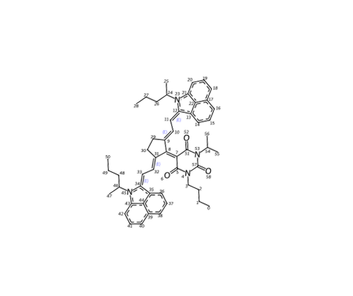 CCCCN1C(=O)C(=C2/C(=C/C=c3\c4cccc5cccc(c54)n3C(C)CCC)CC/C2=C\C=c2/c3cccc4cccc(c43)n2C(C)CCC)C(=O)N(C(C)C)C1=O